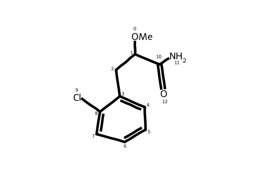 COC(Cc1ccccc1Cl)C(N)=O